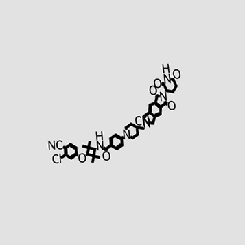 CC1(C)[C@H](NC(=O)c2ccc(N3CCC(C#N)(CN4Cc5cc6c(cc5C4)C(=O)N(C4CCC(=O)NC4=O)C6=O)CC3)cc2)C(C)(C)[C@H]1Oc1ccc(C#N)c(Cl)c1